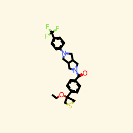 CCOC1(c2ccc(C(=O)N3CC4CN(c5ccc(C(F)(F)F)cc5)CC4C3)cc2)CSC1